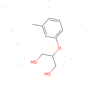 Cc1cccc(OC(CO)CO)c1